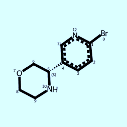 Brc1ccc([C@H]2COCCN2)cn1